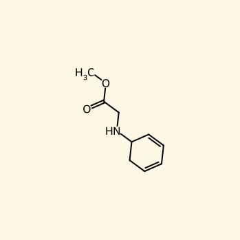 COC(=O)CNC1C=CC=CC1